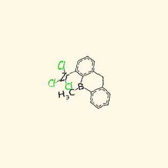 CB1c2ccccc2Cc2ccc[c]([Zr]([Cl])([Cl])[Cl])c21